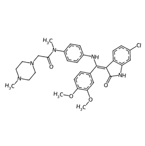 COc1ccc(C(Nc2ccc(N(C)C(=O)CN3CCN(C)CC3)cc2)=C2C(=O)Nc3cc(Cl)ccc32)cc1OC